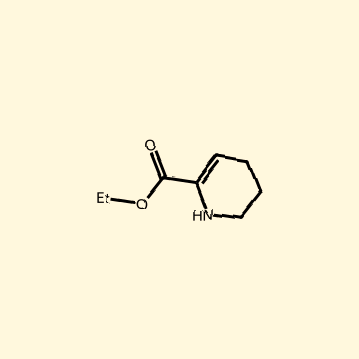 CCOC(=O)C1=CCCCN1